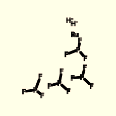 FP(F)F.FP(F)F.FP(F)F.FP(F)F.[H-].[H-].[Ru]